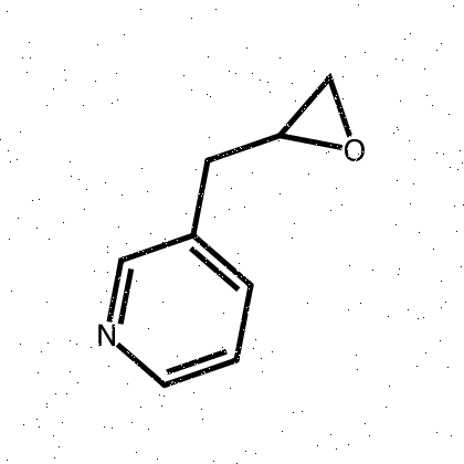 c1cncc(CC2CO2)c1